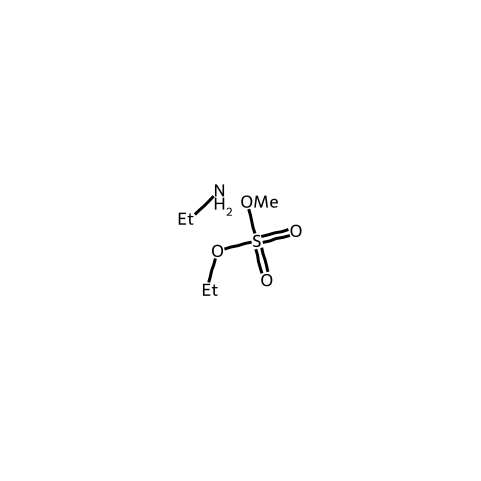 CCN.CCOS(=O)(=O)OC